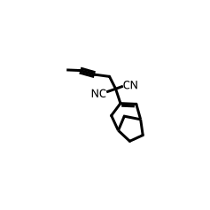 CC#CCC(C#N)(C#N)C1=CC2CCC(C1)C2